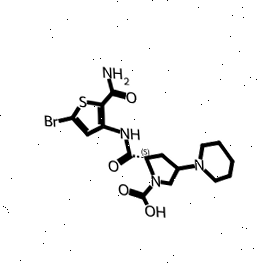 NC(=O)c1sc(Br)cc1NC(=O)[C@@H]1CC(N2CCCCC2)CN1C(=O)O